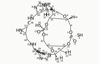 O=[P@]1(S)OC[C@H]2OC3[C@H](F)[C@@H]2O[P@](=O)(S)OCC2O[C@H]([C@H](F)[C@@H]2O1)n1cnc2c(ncnc21)NCC1NC1CNc1ncnc2c1ncn23